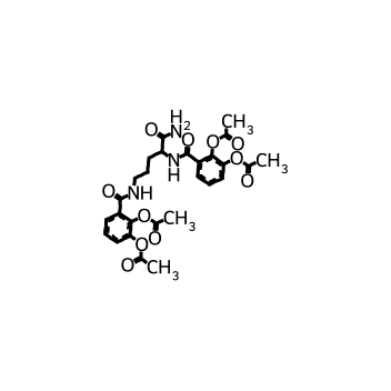 CC(=O)Oc1cccc(C(=O)NCCCC(NC(=O)c2cccc(OC(C)=O)c2OC(C)=O)C(N)=O)c1OC(C)=O